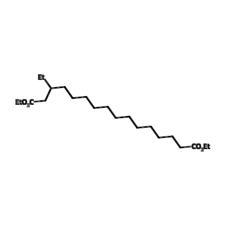 CCOC(=O)CCCCCCCCCCCCC(CC)CC(=O)OCC